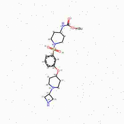 CC(C)(C)OC(=O)NC1CCN(S(=O)(=O)c2cccc(OC3CCN(C4CNC4)CC3)c2)CC1